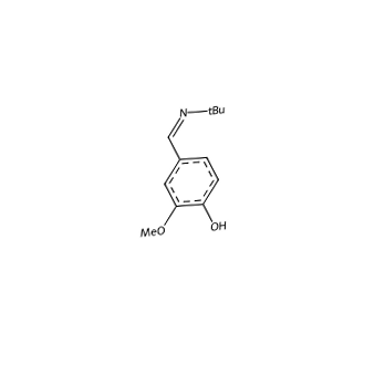 COc1cc(/C=N\C(C)(C)C)ccc1O